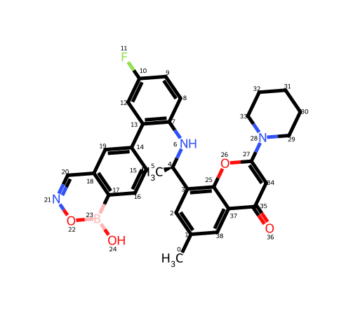 Cc1cc([C@@H](C)Nc2ccc(F)cc2-c2ccc3c(c2)C=NOB3O)c2oc(N3CCCCC3)cc(=O)c2c1